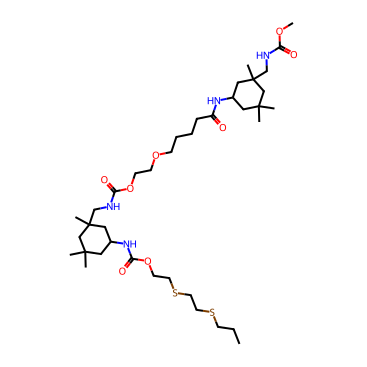 CCCSCCSCCOC(=O)NC1CC(C)(C)CC(C)(CNC(=O)OCCOCCCCC(=O)NC2CC(C)(C)CC(C)(CNC(=O)OC)C2)C1